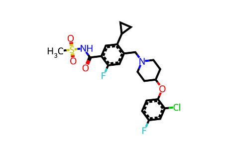 CS(=O)(=O)NC(=O)c1cc(C2CC2)c(CN2CCC(Oc3ccc(F)cc3Cl)CC2)cc1F